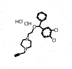 C#CCN1CCN(CCOC(c2ccccc2)c2ccc(Cl)c(Cl)c2)CC1.Cl.Cl